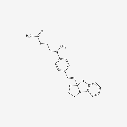 CC(=O)SCCN(C)c1ccc(/C=C/C23OCCN2c2ccccc2O3)cc1